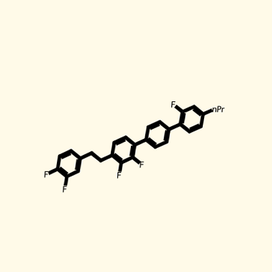 CCCc1ccc(-c2ccc(-c3ccc(CCc4ccc(F)c(F)c4)c(F)c3F)cc2)c(F)c1